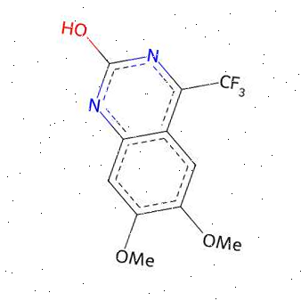 COc1cc2nc(O)nc(C(F)(F)F)c2cc1OC